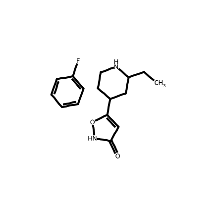 CCC1CC(c2cc(=O)[nH]o2)CCN1.Fc1ccccc1